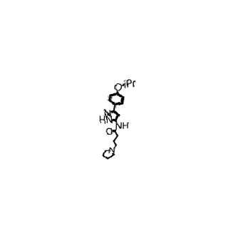 CC(C)Oc1ccc(-c2cc(NC(=O)CCCN3CCCC3)[nH]n2)cc1